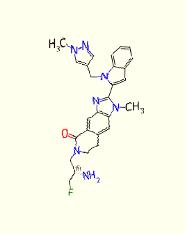 Cn1cc(Cn2c(-c3nc4cc5c(cc4n3C)CCN(C[C@H](N)CF)C5=O)cc3ccccc32)cn1